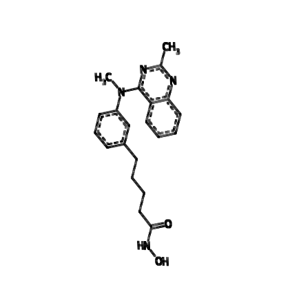 Cc1nc(N(C)c2cccc(CCCCC(=O)NO)c2)c2ccccc2n1